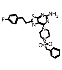 Nc1nc(N2CCN(S(=O)(=O)Cc3ccccc3)CC2)c2nc(CCc3ccc(F)cc3)sc2n1